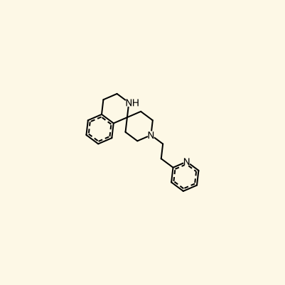 c1ccc(CCN2CCC3(CC2)NCCc2ccccc23)nc1